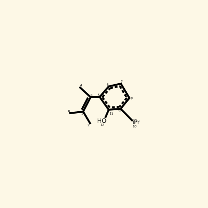 CC(C)=C(C)c1cccc(C(C)C)c1O